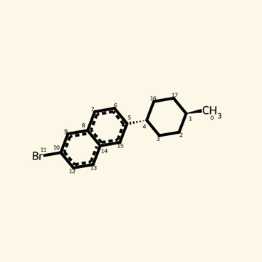 C[C@H]1CC[C@H](c2ccc3cc(Br)ccc3c2)CC1